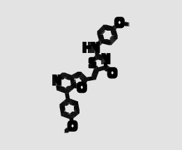 COc1ccc(NC2=NC(=O)/C(=C/c3cc4cncc(-c5ccc(OC)cc5)c4o3)S2)cc1